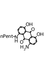 CCCCCNc1ccc(O)c2c1C(=O)c1c(N)ccc(O)c1C2=O